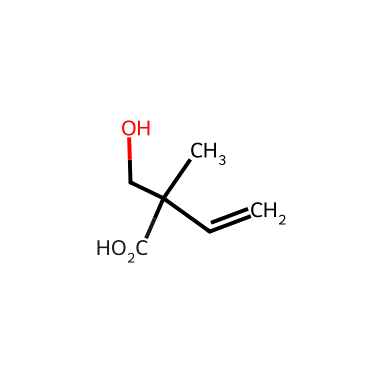 C=CC(C)(CO)C(=O)O